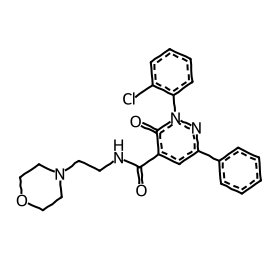 O=C(NCCN1CCOCC1)c1cc(-c2ccccc2)nn(-c2ccccc2Cl)c1=O